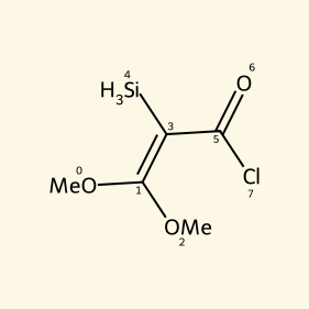 COC(OC)=C([SiH3])C(=O)Cl